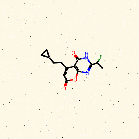 CC(F)c1nc2oc(=O)cc(CCC3CC3)c2c(=O)[nH]1